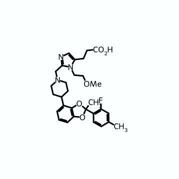 COCCn1c(CCC(=O)O)cnc1CN1CCC(c2cccc3c2OC(C)(c2ccc(C)cc2F)O3)CC1